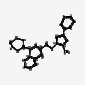 Cn1cc(-c2ccccc2)nc1COc1nc(N2CCOCC2)c2ccccc2n1